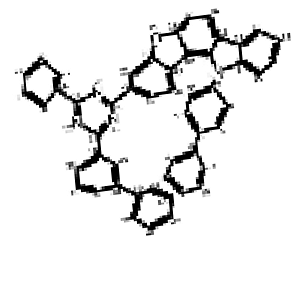 c1ccc(-c2ccc(-n3c4ccccc4c4ccc5oc6cc(-c7nc(-c8ccccc8)nc(-c8cccc(-c9ccccc9)c8)n7)ccc6c5c43)cc2)cc1